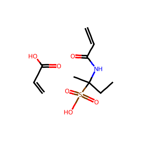 C=CC(=O)NC(C)(CC)S(=O)(=O)O.C=CC(=O)O